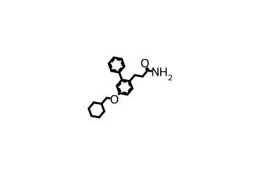 NC(=O)CCc1ccc(OCC2CCCCC2)cc1-c1ccccc1